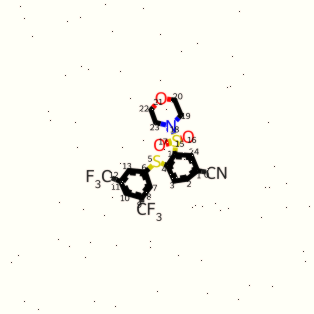 N#Cc1ccc(Sc2cc(C(F)(F)F)cc(C(F)(F)F)c2)c(S(=O)(=O)N2CCOCC2)c1